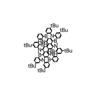 CC(C)(C)c1ccc2c(c1)N1CB3c4ccc(C(C)(C)C)cc4N4c5cc(C(C)(C)C)ccc5B5c6ccccc6Nc6c5c4c3c3c1c(c1c4c5c7c8c9c4c4c(c1c63)Bc1ccc(C(C)(C)C)cc1N4CB9c1ccc(C(C)(C)C)cc1N8c1cc(C(C)(C)C)ccc1B7c1ccccc1N5)B2